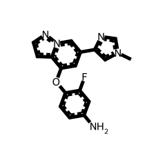 Cn1cnc(-c2cc(Oc3ccc(N)cc3F)c3ccnn3c2)c1